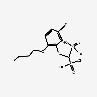 CCCCOc1ccc(F)cc1SC(P(=O)(O)O)P(=O)(O)O